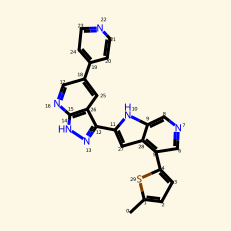 Cc1ccc(-c2cncc3[nH]c(-c4n[nH]c5ncc(-c6ccncc6)cc45)cc23)s1